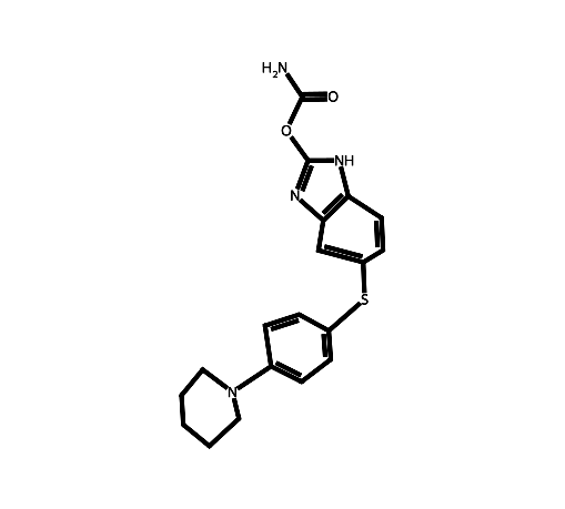 NC(=O)Oc1nc2cc(Sc3ccc(N4CCCCC4)cc3)ccc2[nH]1